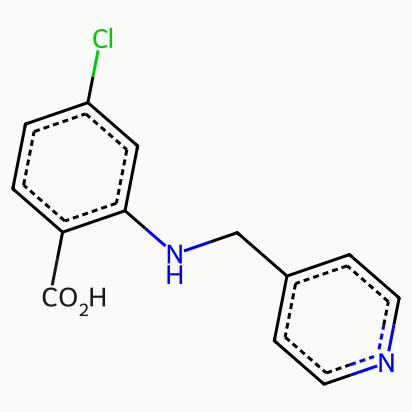 O=C(O)c1ccc(Cl)cc1NCc1ccncc1